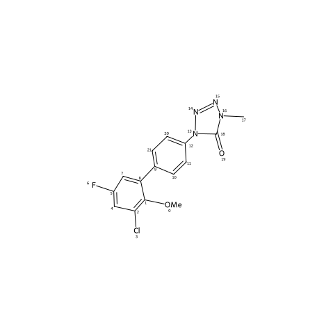 COc1c(Cl)cc(F)cc1-c1ccc(-n2nnn(C)c2=O)cc1